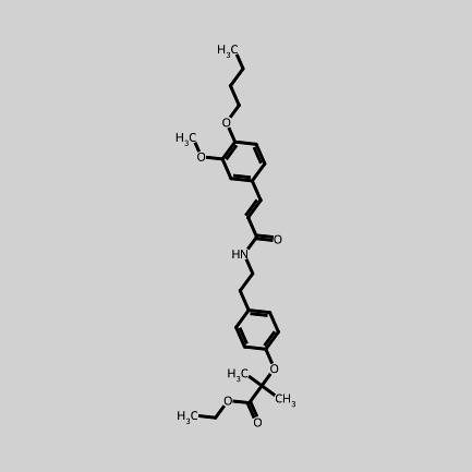 CCCCOc1ccc(/C=C/C(=O)NCCc2ccc(OC(C)(C)C(=O)OCC)cc2)cc1OC